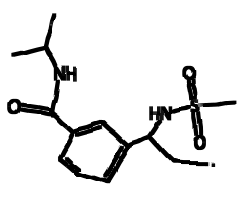 [CH2]CC(NS(C)(=O)=O)c1cccc(C(=O)NC(C)C)c1